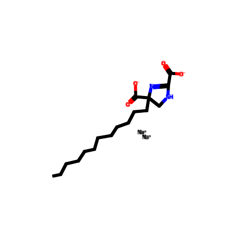 CCCCCCCCCCCCC1(C(=O)[O-])CNC(C(=O)[O-])=N1.[Na+].[Na+]